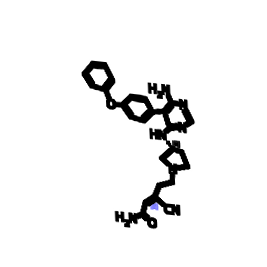 N#C/C(=C\C(N)=O)CCN1CC[C@@H](Nc2ncnc(N)c2-c2ccc(Oc3ccccc3)cc2)C1